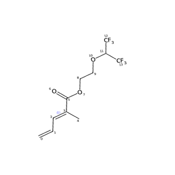 C=C/C=C(\C)C(=O)OCCOC(C(F)(F)F)C(F)(F)F